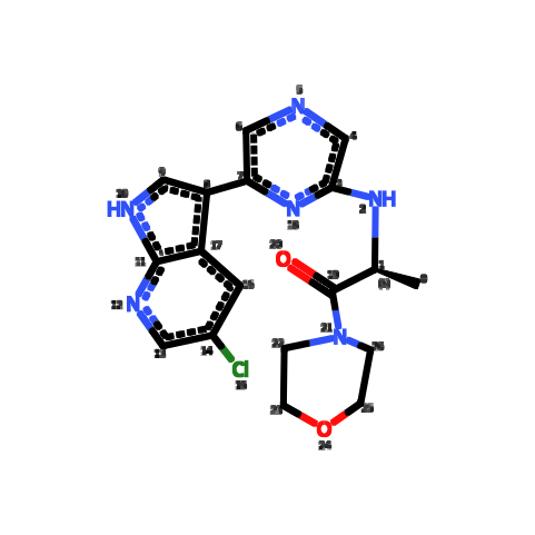 C[C@H](Nc1cncc(-c2c[nH]c3ncc(Cl)cc23)n1)C(=O)N1CCOCC1